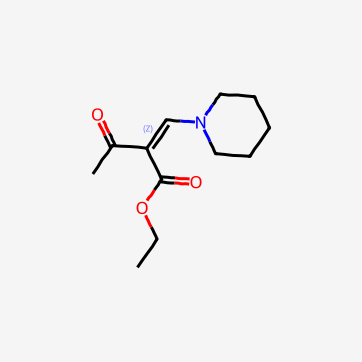 CCOC(=O)/C(=C\N1CCCCC1)C(C)=O